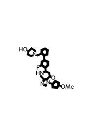 COc1ccc(-n2cnc3c2C(=O)CC(c2ccc(-c4ccccc4CN4CCC(O)CC4)cc2F)NC3)cc1